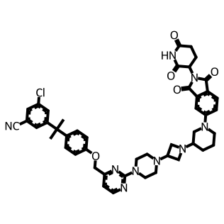 CC(C)(c1ccc(OCc2ccnc(N3CCN(C4CN(C5CCCN(c6ccc7c(c6)C(=O)N(C6CCC(=O)NC6=O)C7=O)C5)C4)CC3)n2)cc1)c1cc(Cl)cc(C#N)c1